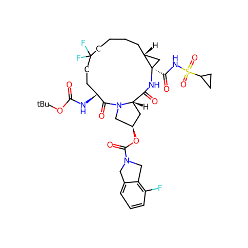 CC(C)(C)OC(=O)N[C@H]1CCC(F)(F)CCCC[C@@H]2C[C@@]2(C(=O)NS(=O)(=O)C2CC2)NC(=O)[C@@H]2C[C@@H](OC(=O)N3Cc4cccc(F)c4C3)CN2C1=O